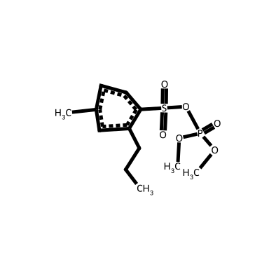 CCCc1cc(C)ccc1S(=O)(=O)OP(=O)(OC)OC